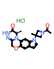 CC(=O)N1CC(C)(n2ccc3cc4c(cc32)N2C(=NNC(=O)[C@H]2C)CO4)C1.Cl